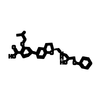 CC(C)COc1cc(-c2ccc3c(c2)CC[C@H](CNC[C@H](O)COc2ccccc2)O3)ccc1C(=O)O